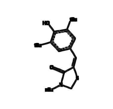 CCCCN1CSC(=Cc2cc(C(C)(C)C)c(O)c(C(C)(C)C)c2)C1=O